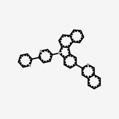 c1ccc(-c2ccc(-n3c4ccc(-c5cc6ccccc6cn5)cc4c4c5ccccc5ccc43)cn2)nc1